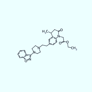 CCOC(=O)CN1C(=O)CC(C)c2cc(CCN3CCN(c4noc5ccccc45)CC3)ccc21